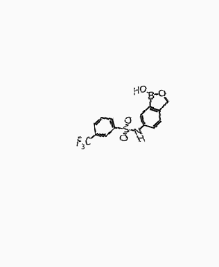 O=S(=O)(Nc1ccc2c(c1)B(O)OC2)c1cccc(C(F)(F)F)c1